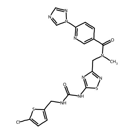 CN(Cc1nsc(NC(=O)NCc2ccc(Cl)s2)n1)C(=O)c1ccc(-n2cncn2)nc1